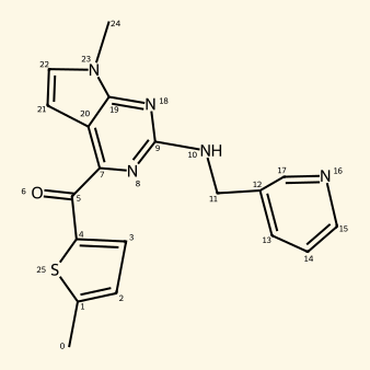 Cc1ccc(C(=O)c2nc(NCc3cccnc3)nc3c2ccn3C)s1